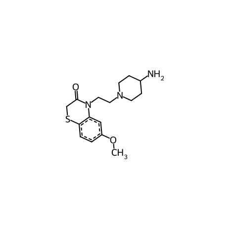 COc1ccc2c(c1)N(CCN1CCC(N)CC1)C(=O)CS2